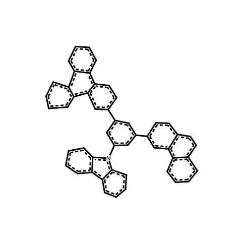 c1ccc2c(c1)ccc1ccc(-c3cc(-c4ccc5c6ccccc6c6ccccc6c5c4)cc(-n4c5ccccc5c5ccccc54)c3)cc12